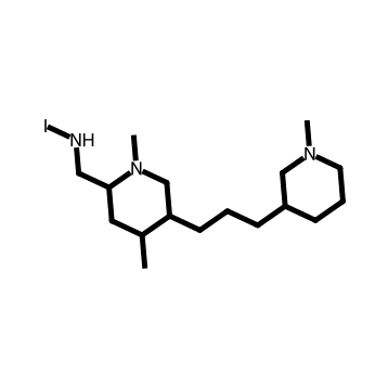 CC1CC(CNI)N(C)CC1CCCC1CCCN(C)C1